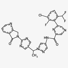 CC(c1cnc(N2Cc3ncccc3C2=O)nc1)n1cc(NC(=O)c2cncc(-c3c(C(F)F)ccc(Cl)c3F)n2)cn1